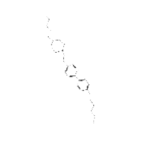 CCCCCCOc1ccc(-c2ncc(CCC3CCC(CCCCC)CC3)cn2)cc1